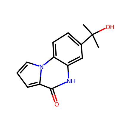 CC(C)(O)c1ccc2c(c1)[nH]c(=O)c1cccn12